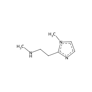 CNCCc1nccn1C